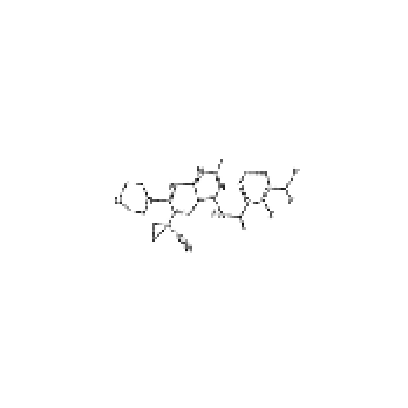 Cc1nc(N[C@H](C)c2cccc(C(F)F)c2F)c2cc(C3(C#N)CC3)c(N3CCOCC3)nc2n1